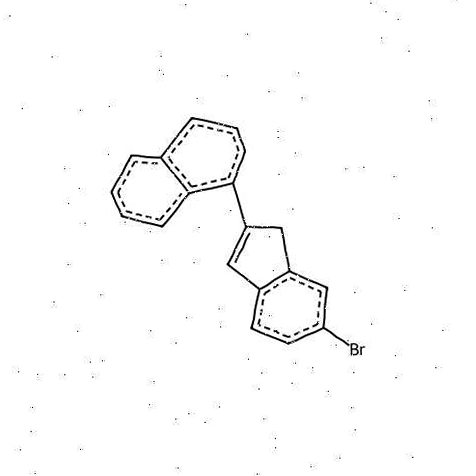 Brc1ccc2c(c1)CC(c1cccc3ccccc13)=C2